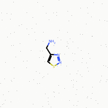 NCc1csnn1